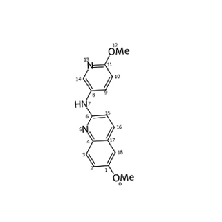 COc1ccc2nc(Nc3ccc(OC)nc3)ccc2c1